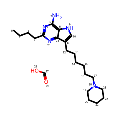 CCCCc1nc(N)c2[nH]cc(CCCCCCN3CCCCC3)c2n1.O=CO